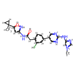 CCn1cnc(Nc2ncc(-c3ccc(CC(=O)Nc4cc(C5(C(F)(F)F)CC5)on4)c(F)c3)cn2)c1